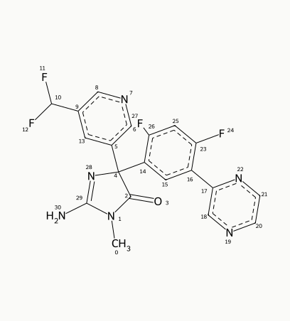 CN1C(=O)C(c2cncc(C(F)F)c2)(c2cc(-c3cnccn3)c(F)cc2F)N=C1N